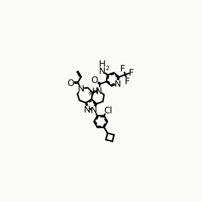 C=CC(=O)N1CCc2nn(-c3ccc(C4CCC4)cc3Cl)c3c2[C@H](C1)N(C(=O)c1cnc(C(F)(F)F)cc1N)CC3